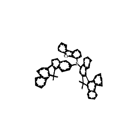 CC1(C)c2c(ccc3ccccc23)-c2ccc3cc(N(c4cc5c(c6ccccc46)-c4c(c6ccccc6c6ccccc46)C5(C)C)c4cccc5c4oc4ccccc45)ccc3c21